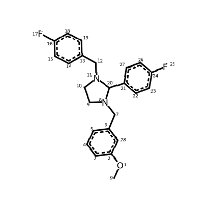 COc1cccc(CN2CCN(Cc3ccc(F)cc3)C2c2ccc(F)cc2)c1